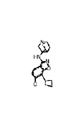 Clc1ccc2c(NC3CN4CCC3CC4)noc2c1C1CCC1